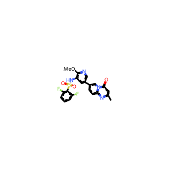 COc1ncc(-c2ccc3nc(C)cc(=O)n3c2)cc1NS(=O)(=O)c1c(F)cccc1F